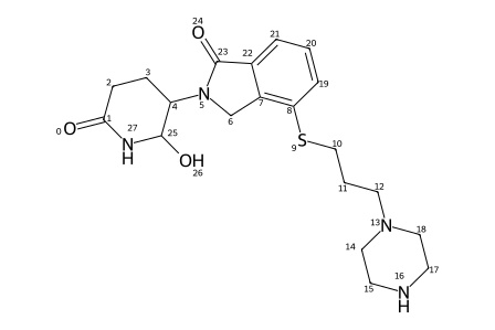 O=C1CCC(N2Cc3c(SCCCN4CCNCC4)cccc3C2=O)C(O)N1